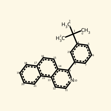 CC(C)(C)c1cccc(-c2nccc3c2ccc2ccccc23)c1